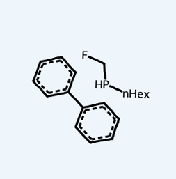 CCCCCCPCF.c1ccc(-c2ccccc2)cc1